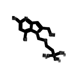 C[Si](C)(C)CCOCn1c(CO)cc2nc(Br)cc(Cl)c21